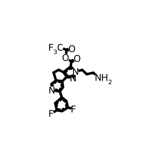 NCCCn1nc2c(c1C(=O)OC(=O)C(F)(F)F)CCc1cnc(-c3cc(F)cc(F)c3)cc1-2